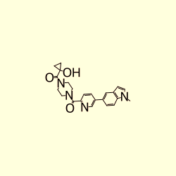 Cn1ccc2cc(-c3ccc(C(=O)N4CCN(C(=O)C5(O)CC5)CC4)nc3)ccc21